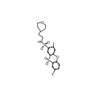 Cc1cc2c(cc1S(=O)(=O)NCCC1CCOCC1)S(=O)(=O)c1cc(F)ccc1O2